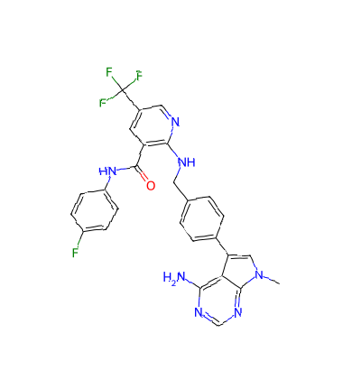 Cn1cc(-c2ccc(CNc3ncc(C(F)(F)F)cc3C(=O)Nc3ccc(F)cc3)cc2)c2c(N)ncnc21